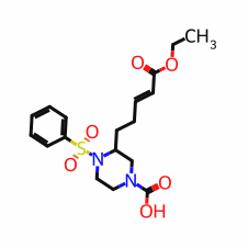 CCOC(=O)C=CCCC1CN(C(=O)O)CCN1S(=O)(=O)c1ccccc1